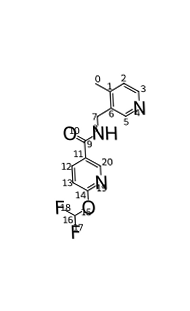 Cc1ccncc1CNC(=O)c1ccc(OC(F)F)nc1